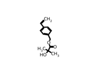 C=Cc1ccc(COC(=O)C(C)(C)O)cc1